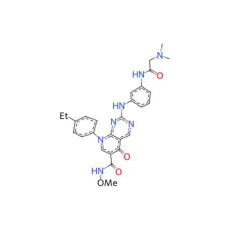 CCc1ccc(-n2cc(C(=O)NOC)c(=O)c3cnc(Nc4cccc(NC(=O)CN(C)C)c4)nc32)cc1